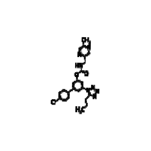 CCCc1nnnn1-c1cc(OC(=O)NCc2cnc(C)cn2)cc(-c2ccc(Cl)cc2)c1